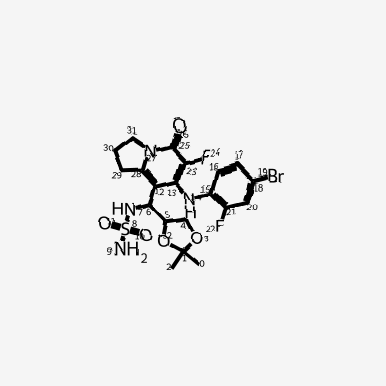 CC1(C)OCC(C(NS(N)(=O)=O)c2c(Nc3ccc(Br)cc3F)c(F)c(=O)n3c2CCC3)O1